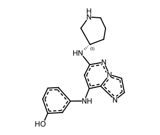 Oc1cccc(Nc2cc(N[C@H]3CCCNC3)nn3ccnc23)c1